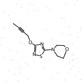 CC#CCOc1nsc(N2CCOCC2)n1